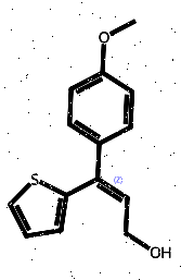 COc1ccc(/C(=C/CO)c2cccs2)cc1